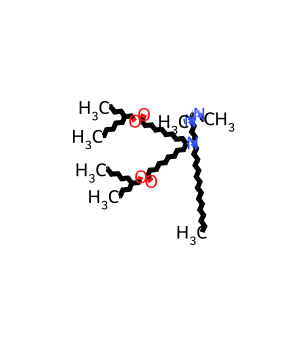 CCCCCCCCCCCCCCCCN(CCCN(C)/C=N\CC)C(CCCCCCCCC(=O)OCC(CCCC)CCCCCC)CCCCCCCCC(=O)OCC(CCCC)CCCCCC